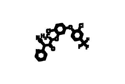 CC(Oc1cc(Oc2ccc(C(F)(F)F)cc2Cl)ccc1Cl)C(=O)C(C#N)c1ccccn1